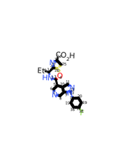 CCC(NC(=O)c1cncc2c1cnn2-c1ccc(F)cc1)c1nc(C(=O)O)cs1